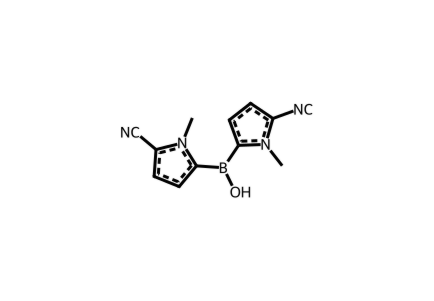 [C-]#[N+]c1ccc(B(O)c2ccc(C#N)n2C)n1C